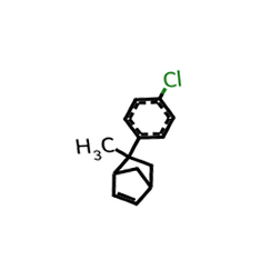 CC1(c2ccc(Cl)cc2)CC2C=CC1C2